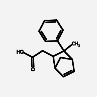 CC1(c2ccccc2)C2C=CC(C2)C1CC(=O)O